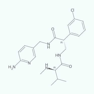 CN[C@@H](C(=O)NC[C@H](C(=O)NCc1ccc(N)nc1)c1cccc(Cl)c1)C(C)C